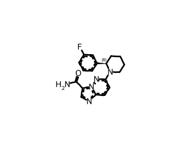 NC(=O)c1cnc2ccc(N3CCCC[C@@H]3c3cccc(F)c3)nn12